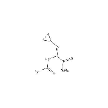 CNC(=O)C(=CC1CC1)NC(=O)C(F)(F)F